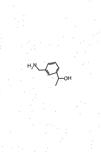 CC(O)c1[c]c(CN)ccc1